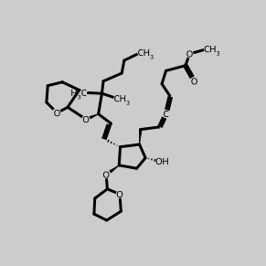 CCCCC(C)(C)[C@@H](/C=C/[C@@H]1[C@@H](CC=C=CCCC(=O)OC)[C@H](O)C[C@H]1OC1CCCCO1)OC1CCCCO1